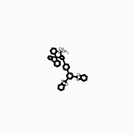 C[Si]1(C)c2ccccc2C2(c3ccccc3-c3ccccc32)c2cc(-c3ccc(-c4cc(-c5nc6ccccc6o5)cc(-c5nc6ccccc6o5)c4)cc3)ccc21